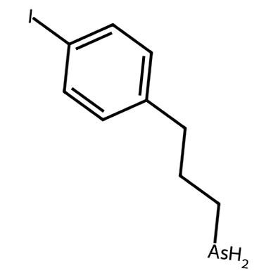 [AsH2]CCCc1ccc(I)cc1